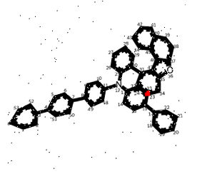 c1ccc(-c2ccc(-c3ccc(N(c4ccc(-c5ccccc5)cc4)c4ccccc4-c4cccc5oc6ccc7ccccc7c6c45)cc3)cc2)cc1